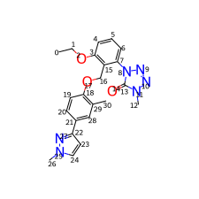 CCOc1cccc(-n2nnn(C)c2=O)c1COc1ccc(-c2ccn(C)n2)cc1C